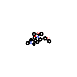 c1ccc(-c2oc3ccccc3c2N(c2cccc(-c3ccc4oc5ccccc5c4c3)c2)c2cccc3c2-c2ccccc2C32c3ccccc3-n3c4ccccc4c4cccc2c43)cc1